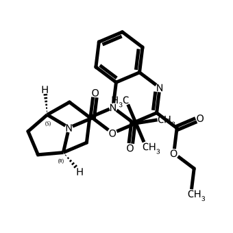 CCOC(=O)c1nc2ccccc2n(C2C[C@H]3CC[C@@H](C2)N3C(=O)OC(C)(C)C)c1=O